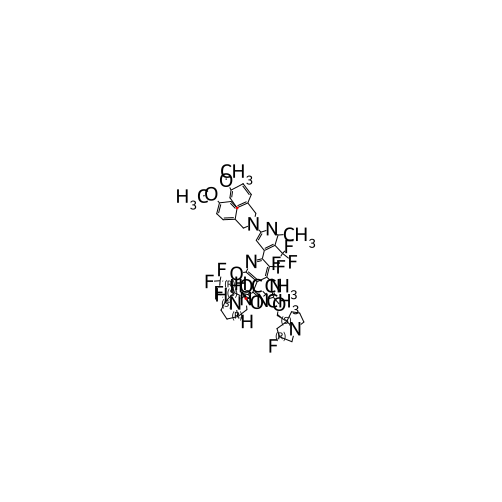 COc1ccc(CN(Cc2ccc(OC)cc2)c2cc(-c3nc4c5c(nc(OC[C@@]67CCCN6C[C@H](F)C7)nc5c3F)N3C[C@H]5CC[C@@H]([C@H]3[C@H](C(F)(F)F)O4)N5C(=O)OC(C)(C)C)c(C(F)(F)F)c(C)n2)cc1